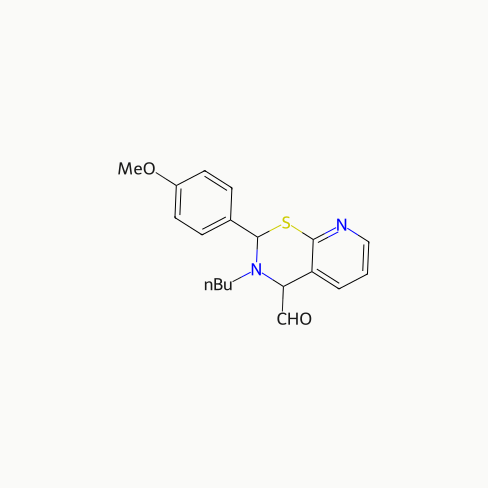 CCCCN1C(C=O)c2cccnc2SC1c1ccc(OC)cc1